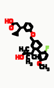 COc1ccc(F)c(-c2ccc(COc3cccc([C@H](CC(=O)O)C4CC4)c3)cc2C(C)C(C)(C)CO)c1